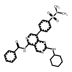 CN(C)S(=O)(=O)c1ccc(-c2cnc(NC(=O)c3ccccc3)c3cnc(NC4CCCCC4)nc23)cc1